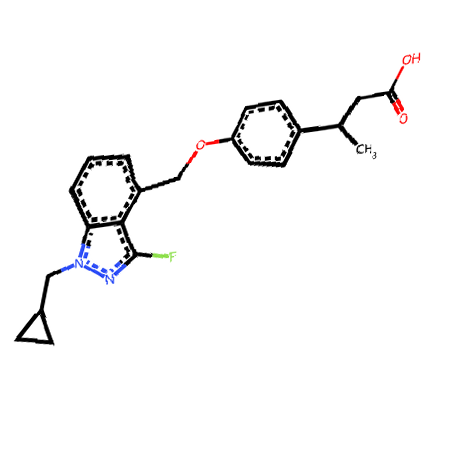 CC(CC(=O)O)c1ccc(OCc2cccc3c2c(F)nn3CC2CC2)cc1